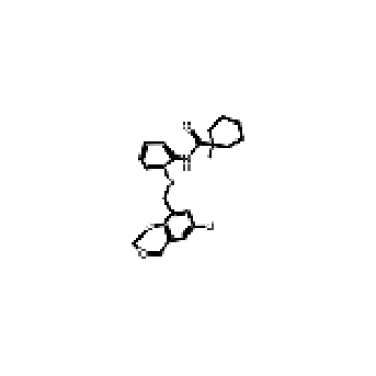 CC1(C(=O)Nc2ccccc2SCc2cc(Cl)cc3c2OCOC3)CCCCC1